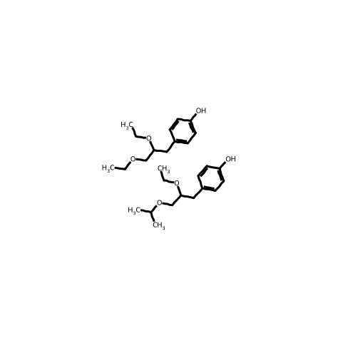 CCOC(COC(C)C)Cc1ccc(O)cc1.CCOCC(Cc1ccc(O)cc1)OCC